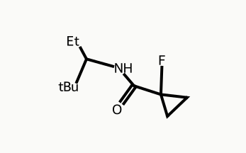 CCC(NC(=O)C1(F)CC1)C(C)(C)C